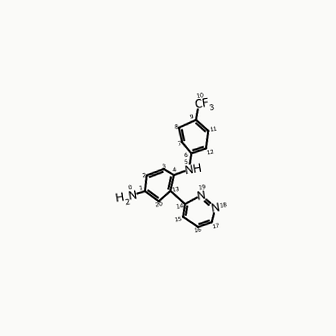 Nc1ccc(Nc2ccc(C(F)(F)F)cc2)c(-c2cccnn2)c1